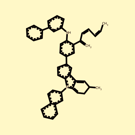 C=C(/C=C\C=C/C)c1cc(-c2ccc3c(c2)c2c(n3-c3ccc4ccccc4c3)=CCC(C)C=2)ccc1Nc1cccc(-c2ccccc2)c1